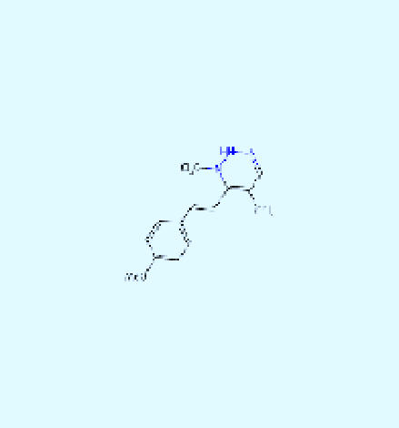 COc1ccc(C=CC2=C(C(Cl)(Cl)Cl)C=NNN2C(Cl)(Cl)Cl)cc1